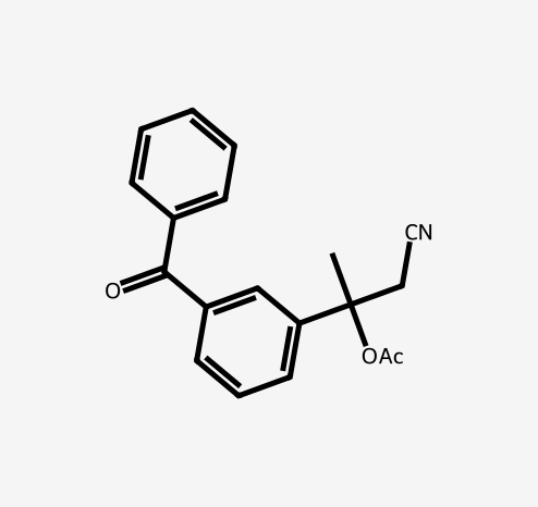 CC(=O)OC(C)(CC#N)c1cccc(C(=O)c2ccccc2)c1